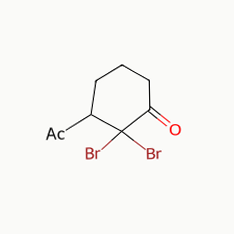 CC(=O)C1CCCC(=O)C1(Br)Br